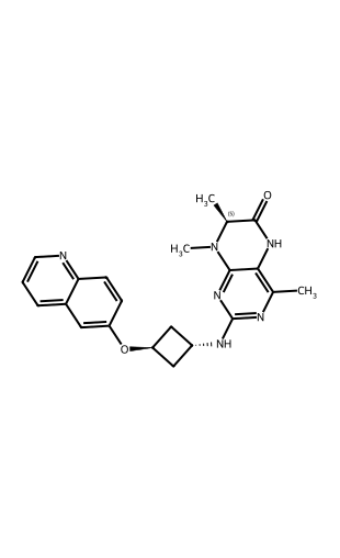 Cc1nc(N[C@H]2C[C@H](Oc3ccc4ncccc4c3)C2)nc2c1NC(=O)[C@H](C)N2C